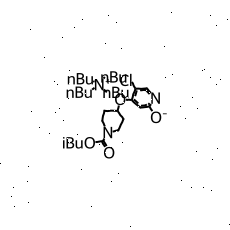 CC(C)COC(=O)N1CCC(Oc2cc([O-])ncc2Cl)CC1.CCCC[N+](CCCC)(CCCC)CCCC